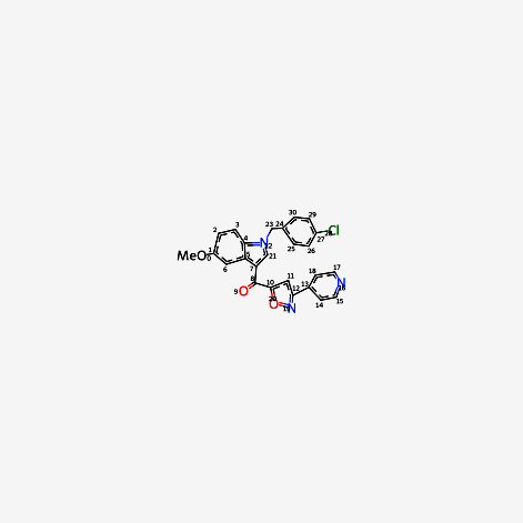 COc1ccc2c(c1)c(C(=O)c1cc(-c3ccncc3)no1)cn2Cc1ccc(Cl)cc1